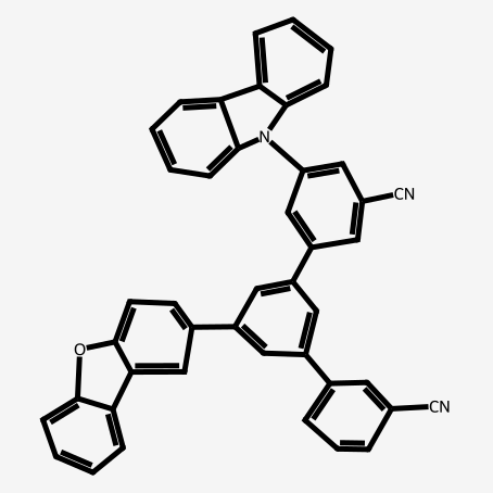 N#Cc1cccc(-c2cc(-c3cc(C#N)cc(-n4c5ccccc5c5ccccc54)c3)cc(-c3ccc4oc5ccccc5c4c3)c2)c1